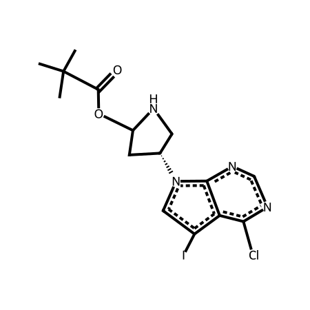 CC(C)(C)C(=O)OC1C[C@@H](n2cc(I)c3c(Cl)ncnc32)CN1